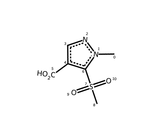 Cn1ncc(C(=O)O)c1S(C)(=O)=O